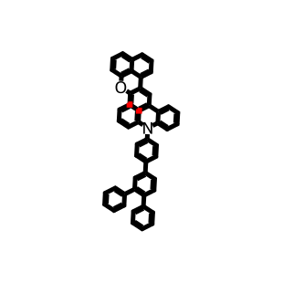 c1ccc(-c2ccc(-c3ccc(N(c4ccccc4)c4ccccc4-c4ccc5c(c4)-c4cccc6cccc(c46)O5)cc3)cc2-c2ccccc2)cc1